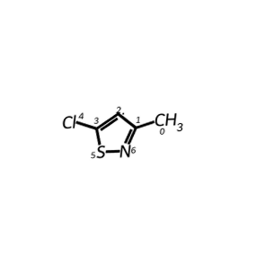 Cc1[c]c(Cl)sn1